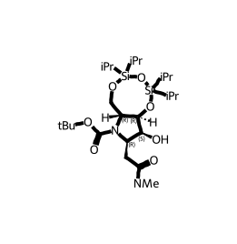 CNC(=O)C[C@@H]1[C@H](O)[C@@H]2O[Si](C(C)C)(C(C)C)O[Si](C(C)C)(C(C)C)OC[C@H]2N1C(=O)OC(C)(C)C